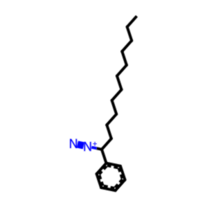 CCCCCCCCCCCC([N+]#N)c1ccccc1